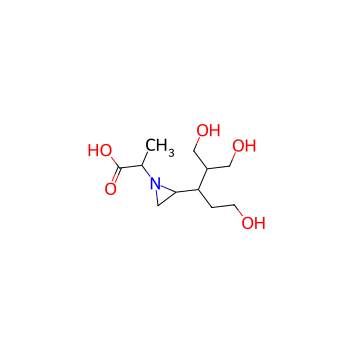 CC(C(=O)O)N1CC1C(CCO)C(CO)CO